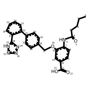 CCCCC(=O)Nc1ccc(C(=O)O)cc1OCc1ccc(-c2ccccc2-c2nnn[nH]2)cc1